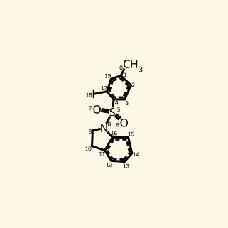 Cc1ccc(S(=O)(=O)N2CCc3ccccc32)c(I)c1